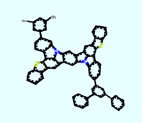 CC(C)(C)c1cc(-c2ccc3c4c5sc6ccccc6c5cc5c6cc7c(cc6n(c3c2)c54)c2cc3c4ccccc4sc3c3c4ccc(-c5cc(-c6ccccc6)cc(-c6ccccc6)c5)cc4n7c23)cc(C(C)(C)C)c1